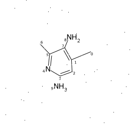 Cc1ccnc(C)c1N.N